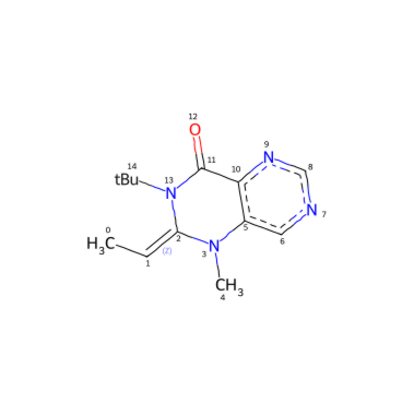 C/C=C1/N(C)c2cncnc2C(=O)N1C(C)(C)C